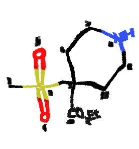 CCOC(=O)C1(S(C)(=O)=O)CCNCC1